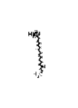 CCCC(=O)CCCCCCCCCCCCc1nn[nH]n1